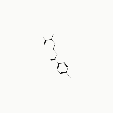 CC(CCNC(=O)c1ccc(N)cc1)C(=O)O